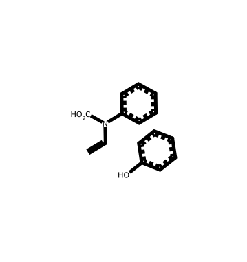 C=CN(C(=O)O)c1ccccc1.Oc1ccccc1